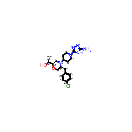 Nc1nnc(N2CCC(N3C[C@H]([C@@H](O)C(F)(F)F)OC[C@@H]3Cc3ccc(Cl)cc3)CC2)[nH]1